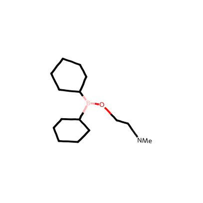 CNCCOB(C1CCCCC1)C1CCCCC1